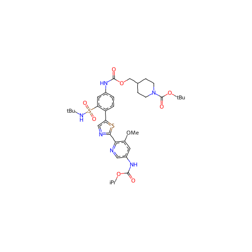 COc1cc(NC(=O)OC(C)C)cnc1-c1ncc(-c2ccc(NC(=O)OCC3CCN(C(=O)OC(C)(C)C)CC3)cc2S(=O)(=O)NC(C)(C)C)s1